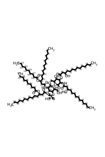 CCCCCCCCCCCCCC(CC(=O)NC1C(OCC2OC(O)C(NC(=O)CC(O)CCCCCCCCCCC)C(OC(=O)CC(O)CCCCCCCCCCC)C2O)OC(CO)C(OS(=O)(=O)O)C1OC(=O)CC(CCCCCCCCCCC)OC(=O)CCCCCCCCC)OC(=O)CCCCCCCCC